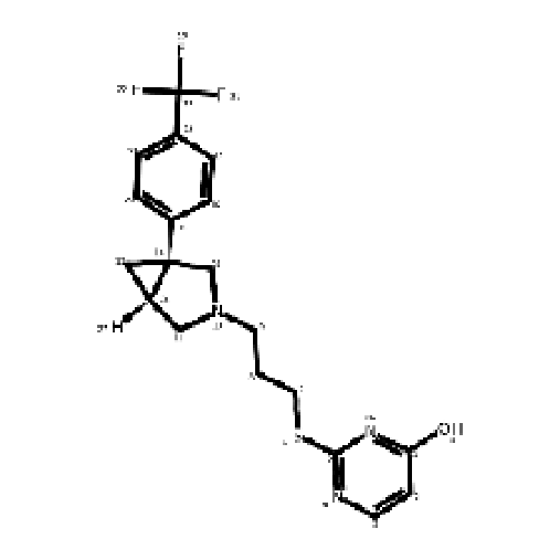 Oc1ccnc(SCCCN2C[C@@H]3C[C@]3(c3ccc(C(F)(F)F)cc3)C2)n1